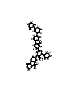 CCc1c(C2=CCC3c4ccccc4C(C)(C)C3C2)nc(-c2ccc3c(c2)oc2cc(-c4cccc(-c5ccccc5)c4)ccc23)nc1-c1ccccc1